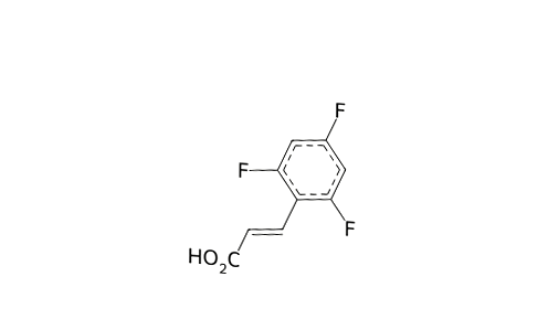 O=C(O)/C=C/c1c(F)cc(F)cc1F